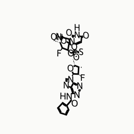 N#CCCOP(=S)(OC[C@@H]1[CH][C@H](F)[C@@H](n2cnc3c(NC(=O)c4ccccc4)ncnc32)O1)O[C@H]1[C@@H](F)[C@H](CO)O[C@@H]1n1ccc(=O)[nH]c1=O